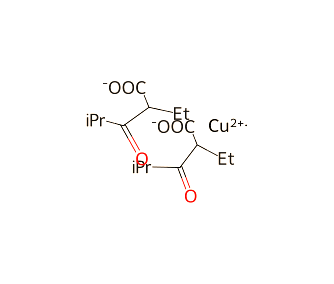 CCC(C(=O)[O-])C(=O)C(C)C.CCC(C(=O)[O-])C(=O)C(C)C.[Cu+2]